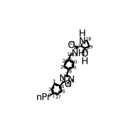 CCCc1ccc(-c2nc(-c3ccc(CNC(=O)[C@H]4NCC[C@@H]4O)cc3)no2)cc1